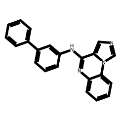 c1ccc(-c2cccc(Nc3nc4ccccc4n4cncc34)c2)cc1